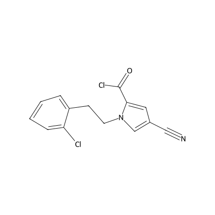 N#Cc1cc(C(=O)Cl)n(CCc2ccccc2Cl)c1